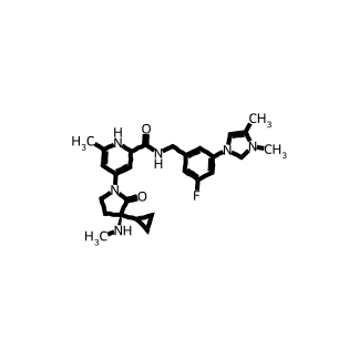 CN[C@@]1(C2CC2)CCN(C2=CC(C(=O)NCc3cc(F)cc(N4C=C(C)N(C)C4)c3)NC(C)=C2)C1=O